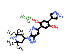 CC1(C)CC(n2nnc3cc(-c4cc(O)c(-c5cn[nH]c5)cc4O)nnc32)CC(C)(C)N1.Cl.Cl